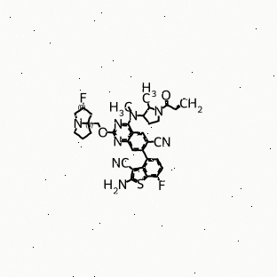 C=CC(=O)N1CCC(N(C)c2nc(OC[C@@]34CCCN3C[C@H](F)C4)nc3cc(-c4ccc(F)c5sc(N)c(C#N)c45)c(C#N)cc23)C1C